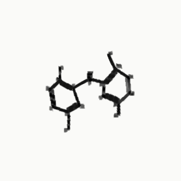 Cc1ccc(C)c(Nc2cc(C)ccc2C)c1